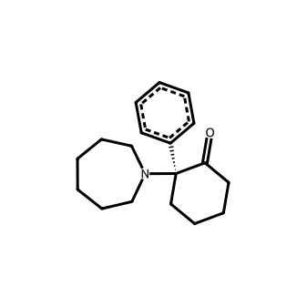 O=C1CCCC[C@@]1(c1ccccc1)N1CCCCCC1